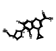 O=C(O)C1=CN(C2CC2)c2c(cc(F)c(N3CCC(CO)C3)c2Cl)C1